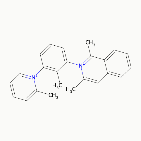 Cc1c(-[n+]2ccccc2C)cccc1-[n+]1c(C)cc2ccccc2c1C